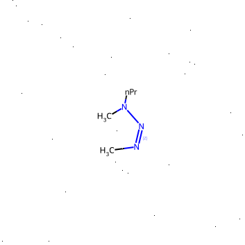 CCCN(C)/N=N\C